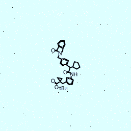 CC(C)(C)OC(=O)C1(Cc2cccc(NC(=O)C(c3ccc(CN4Cc5ccccc5C4=O)cc3)C3CCCC3)c2)CC1